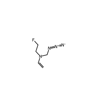 C=CN(CCF)CN=[N+]=[N-]